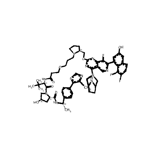 Cc1ncsc1-c1ccc([C@H](C)NC(=O)[C@@H]2C[C@@H](O)CN2C(=O)[C@@H](NC(=O)CCOCCCN2CCC[C@H]2COc2nc(N3CC4CCC(C3)N4)c3cnc(-c4cc(O)cc5ccc(F)c(F)c45)c(F)c3n2)C(C)(C)C)cc1